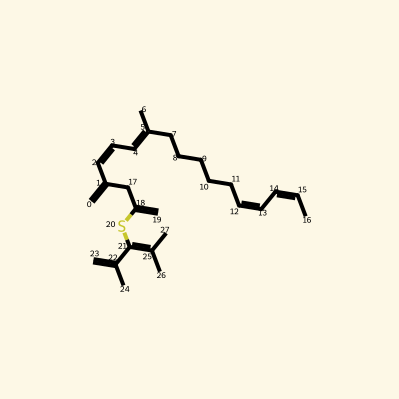 C=C(/C=C\C=C(/C)CCCCC/C=C\C=C/C)CC(=C)SC(C(=C)C)=C(C)C